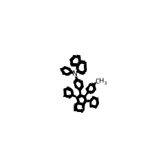 Cc1ccc(-c2c(-c3ccc(N(c4ccccc4)c4cccc5ccccc45)cc3)c(-c3c#cccc3)c3ccccc3c2-c2ccccc2)cc1